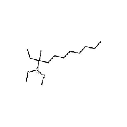 CCCCCCCCC(F)(CC)[SiH](OC)OC